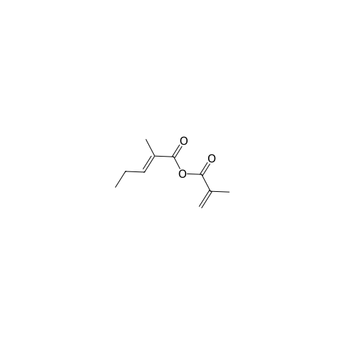 C=C(C)C(=O)OC(=O)C(C)=CCC